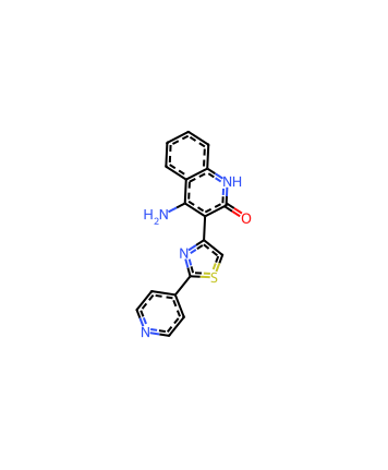 Nc1c(-c2csc(-c3ccncc3)n2)c(=O)[nH]c2ccccc12